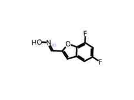 O/N=C/c1cc2cc(F)cc(F)c2o1